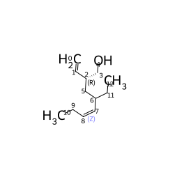 C=C[C@H](CO)CC(/C=C\CC)CC